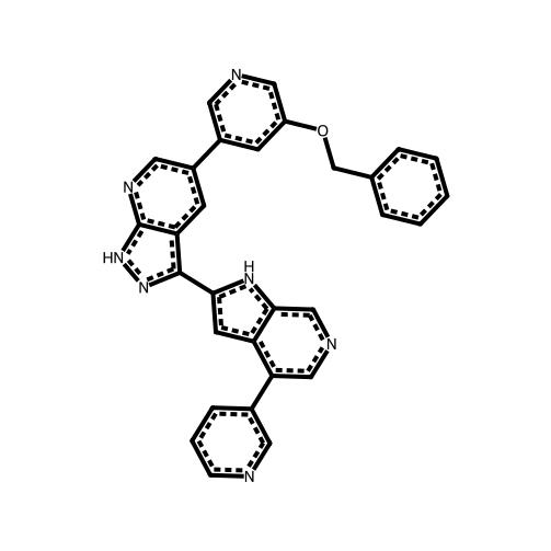 c1ccc(COc2cncc(-c3cnc4[nH]nc(-c5cc6c(-c7cccnc7)cncc6[nH]5)c4c3)c2)cc1